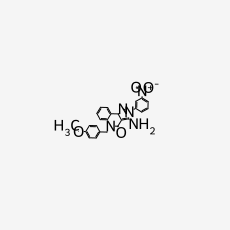 COc1ccc(Cn2c(=O)c3c(N)n(-c4cccc([N+](=O)[O-])c4)nc3c3ccccc32)cc1